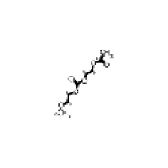 COCCOC(=O)OCCOC(C)=O